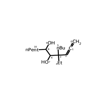 C=C=CC(CC)(CCCC)C(O)C(O)CCCCC